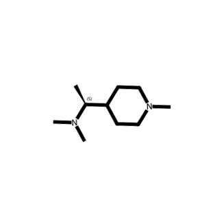 C[C@@H](C1CCN(C)CC1)N(C)C